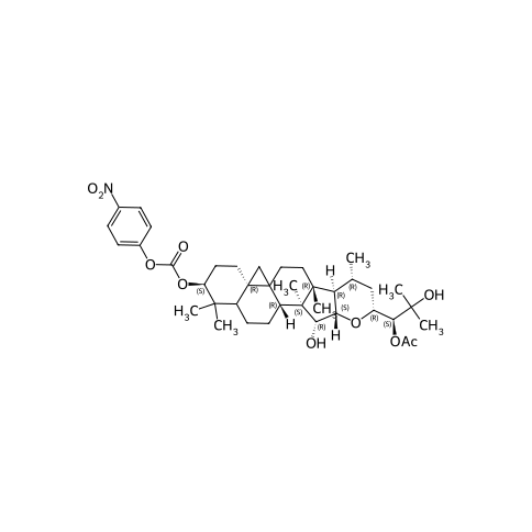 CC(=O)O[C@@H]([C@H]1C[C@@H](C)[C@H]2[C@H](O1)[C@H](O)[C@@]1(C)[C@@H]3CCC4C(C)(C)[C@@H](OC(=O)Oc5ccc([N+](=O)[O-])cc5)CC[C@@]45CC35CC[C@]21C)C(C)(C)O